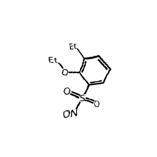 CCOc1c(CC)cccc1S(=O)(=O)N=O